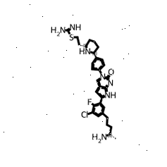 C[C@H](N)CCCc1cc(Cl)c(F)c(-c2cc3cn(-c4ccc([C@@H]5CCC[C@@H](CCSC(=N)N)N5)cc4)c(=O)nc3[nH]2)c1